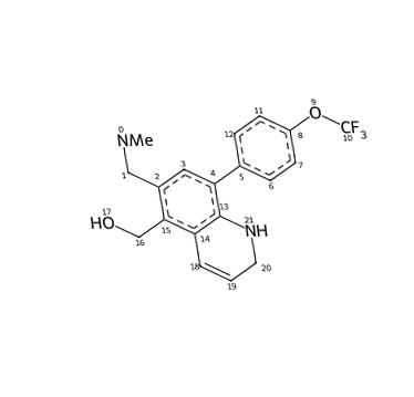 CNCc1cc(-c2ccc(OC(F)(F)F)cc2)c2c(c1CO)C=CCN2